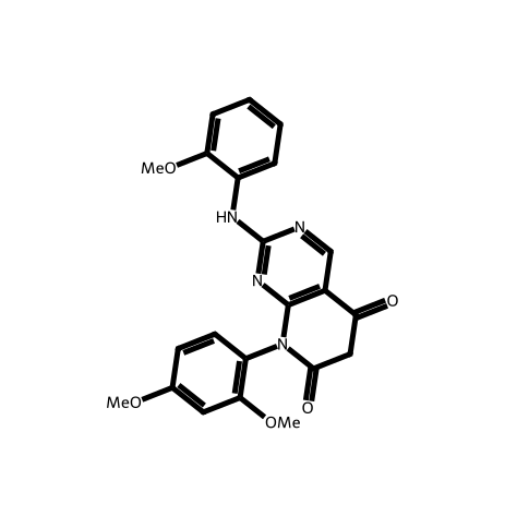 COc1ccc(N2C(=O)CC(=O)c3cnc(Nc4ccccc4OC)nc32)c(OC)c1